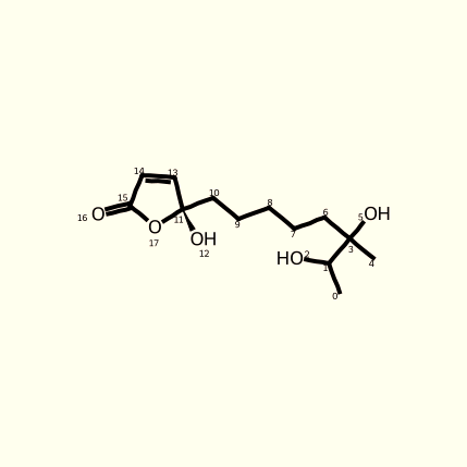 CC(O)C(C)(O)CCCCC[C@@]1(O)C=CC(=O)O1